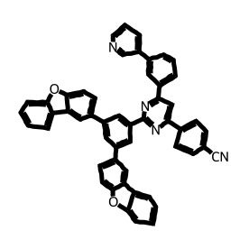 N#Cc1ccc(-c2cc(-c3cccc(-c4cccnc4)c3)nc(-c3cc(-c4ccc5oc6ccccc6c5c4)cc(-c4ccc5oc6ccccc6c5c4)c3)n2)cc1